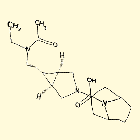 CCN(C[C@@H]1[C@H]2CN(C3CC4CCC(C3)N4C(=O)O)C[C@@H]12)C(C)=O